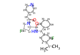 CC(C)c1ccc(C(NC(=O)C2CC(F)CN2C(=O)Cc2ccncc2)c2ccccc2)cc1F